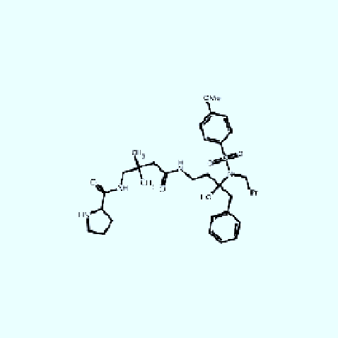 COc1ccc(S(=O)(=O)N(CC(C)C)C(O)(CCNC(=O)CC(C)(C)CNC(=O)C2CCCN2)Cc2ccccc2)cc1